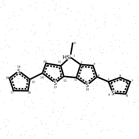 C[SiH]1c2cc(-c3cccs3)sc2-c2sc(-c3cccs3)cc21